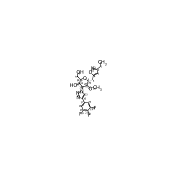 CCc1cc(C[C@H]2O[C@H](CO)[C@H](O)[C@H](n3cc(-c4cc(F)c(F)c(F)c4)nn3)[C@H]2OC)on1